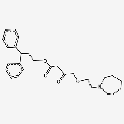 O=C(COCCN1CCCCCC1)CC(=O)OCCC(c1ccccc1)c1ccccc1